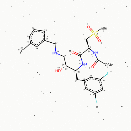 CCCCS(=O)(=O)C[C@@H](NC(=O)OC)C(=O)N[C@@H](Cc1cc(F)cc(F)c1)[C@H](O)CNCc1cccc(C(F)(F)F)c1